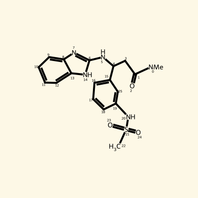 CNC(=O)CC(Nc1nc2ccccc2[nH]1)c1cccc(NS(C)(=O)=O)c1